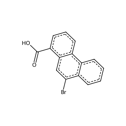 O=C(O)c1cccc2c1cc(Br)c1ccccc12